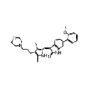 COc1ccccc1-c1ccc2c(c1)NC(=O)/C2=C\c1[nH]c(C)c(CCCN2CCOCC2)c1C